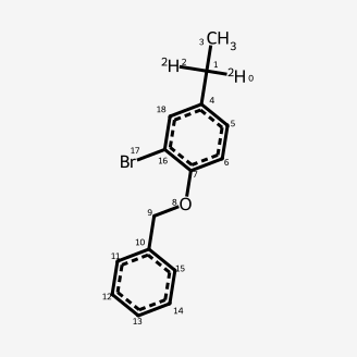 [2H]C([2H])(C)c1ccc(OCc2ccccc2)c(Br)c1